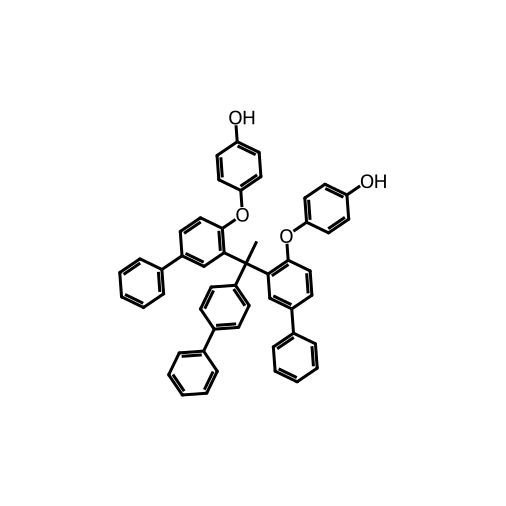 CC(c1ccc(-c2ccccc2)cc1)(c1cc(-c2ccccc2)ccc1Oc1ccc(O)cc1)c1cc(-c2ccccc2)ccc1Oc1ccc(O)cc1